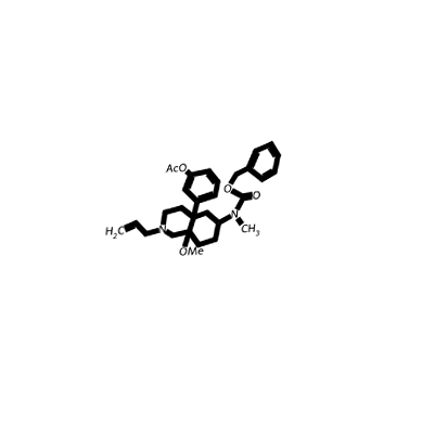 C=CCN1CCC2(c3cccc(OC(C)=O)c3)CC(N(C)C(=O)OCc3ccccc3)CCC2(OC)C1